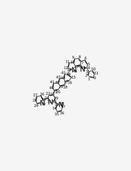 c1ccc(-c2ccc3ccc4ccc(-c5ccc6cc7cc(-c8cc(-c9ccccn9)nc(-c9ccccn9)c8)ccc7cc6c5)nc4c3n2)cc1